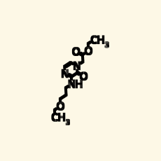 CCOCCCNc1nccn(CC(=O)OCC)c1=O